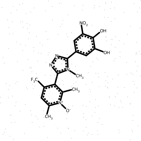 Cc1cc(C(F)(F)F)c(-c2nnc(-c3cc(O)c(O)c([N+](=O)[O-])c3)n2C)c(C)[n+]1[O-]